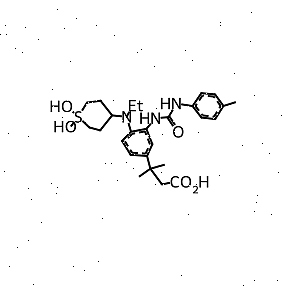 CCN(c1ccc(C(C)(C)CC(=O)O)cc1NC(=O)Nc1ccc(C)cc1)C1CCS(O)(O)CC1